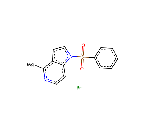 O=S(=O)(c1ccccc1)n1ccc2[c]([Mg+])nccc21.[Br-]